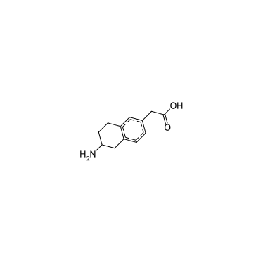 NC1CCc2cc(CC(=O)O)ccc2C1